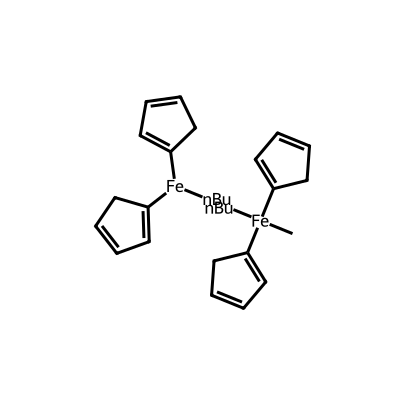 CCC[CH2][Fe]([CH3])([C]1=CC=CC1)[C]1=CC=CC1.CCC[CH2][Fe]([C]1=CC=CC1)[C]1=CC=CC1